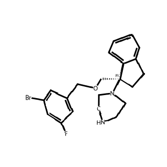 Fc1cc(Br)cc(COC[C@@]2(N3CCNCC3)CCc3ccccc32)c1